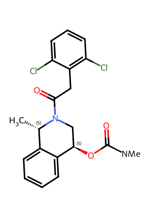 CNC(=O)O[C@@H]1CN(C(=O)Cc2c(Cl)cccc2Cl)[C@@H](C)c2ccccc21